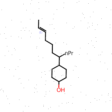 C/C=C/CCCC(CCC)C1CCC(O)CC1